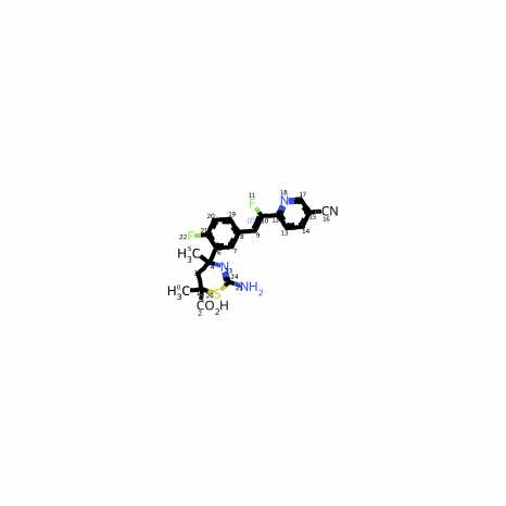 CC1(C(=O)O)CC(C)(c2cc(/C=C(\F)c3ccc(C#N)cn3)ccc2F)N=C(N)S1